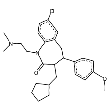 COc1ccc(C2Cc3cc(Cl)ccc3N(CCN(C)C)C(=O)C2CC2CCCC2)cc1